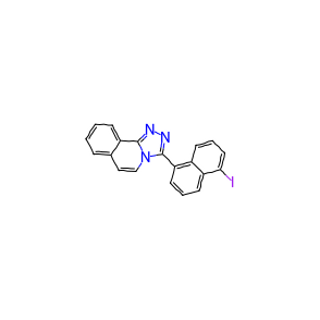 Ic1cccc2c(-c3nnc4c5ccccc5ccn34)cccc12